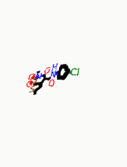 Cc1cc2c(s1)S(=O)(=O)N(C)C(=O)C2C(=O)Nc1ccc(Cl)cc1